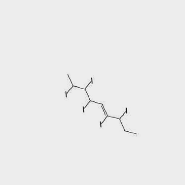 CCC(I)C(I)=CC(I)C(I)C(C)I